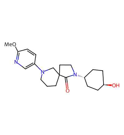 COc1ccc(N2CCCC3(CCN([C@H]4CC[C@H](O)CC4)C3=O)C2)cn1